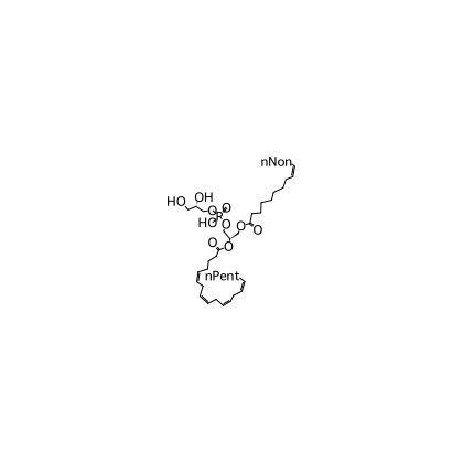 CCCCC/C=C\C/C=C\C/C=C\C/C=C\CCCC(=O)O[C@H](COC(=O)CCCCCCC/C=C\CCCCCCCCC)COP(=O)(O)OC[C@@H](O)CO